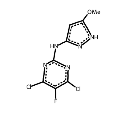 COc1cc(Nc2nc(Cl)c(F)c(Cl)n2)n[nH]1